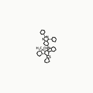 CC1(C)c2ccccc2-c2c1c1c(c3ccccc3n1-c1ccc3nc(-c4ccccc4)nc(-c4ccccc4)c3c1)c1sc3ccccc3c21